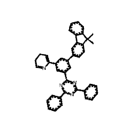 CC1(C)c2ccccc2-c2cc(-c3cc(C4=CCCC=N4)cc(-c4nc(-c5ccccc5)nc(-c5ccccc5)n4)c3)ccc21